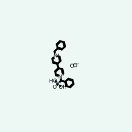 O=P(O)(O)C(c1ccccc1)[n+]1ccc(-c2cc[n+](Cc3ccccc3)cc2)cc1.[Cl-].[Cl-]